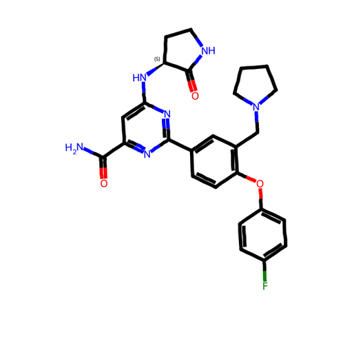 NC(=O)c1cc(N[C@H]2CCNC2=O)nc(-c2ccc(Oc3ccc(F)cc3)c(CN3CCCC3)c2)n1